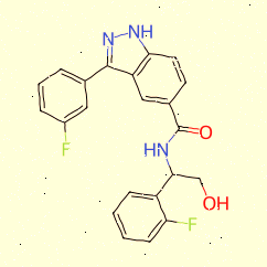 O=C(NC(CO)c1ccccc1F)c1ccc2[nH]nc(-c3cccc(F)c3)c2c1